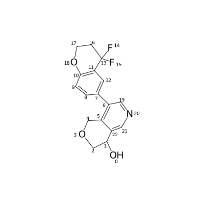 OC1COCc2c(-c3ccc4c(c3)C(F)(F)CCO4)cncc21